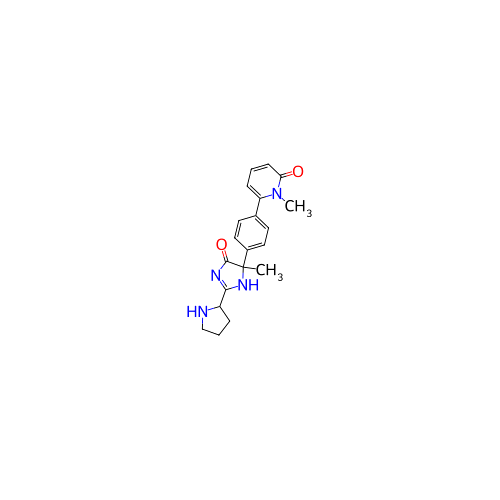 Cn1c(-c2ccc(C3(C)NC(C4CCCN4)=NC3=O)cc2)cccc1=O